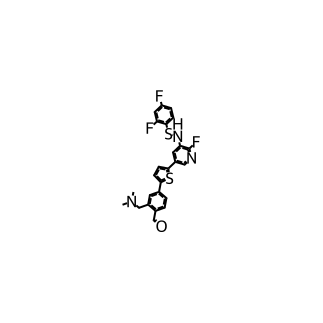 CN(C)Cc1cc(-c2ccc(-c3cnc(F)c(NSc4ccc(F)cc4F)c3)s2)ccc1C=O